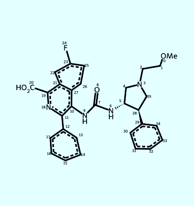 COCCN1C[C@@H](NC(=O)Nc2c(-c3ccccc3)nc(C(=O)O)c3cc(F)ccc23)[C@H](c2ccccc2)C1